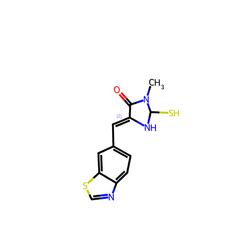 CN1C(=O)/C(=C/c2ccc3ncsc3c2)NC1S